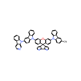 N#Cc1ccc2c(c1)c1ccccc1n2-c1ccc2c(c1)Oc1cc(-n3c4ccccc4c4cc(-n5c6ccccc6c6ccncc65)ccc43)ccc1C21c2cccnc2-c2ncccc21